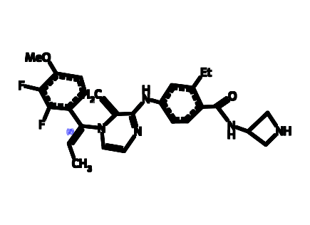 C=C1C(Nc2ccc(C(=O)NC3CNC3)c(CC)c2)=NC=CN1/C(=C\C)c1ccc(OC)c(F)c1F